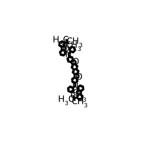 CC(C)(C)c1cccc2c1oc1c(N(c3ccccc3)c3ccc4c(c3)oc3cc5cc6oc7cc(N(c8ccccc8)c8cccc9c8oc8c(C(C)(C)C)cccc89)ccc7c6cc5cc34)cccc12